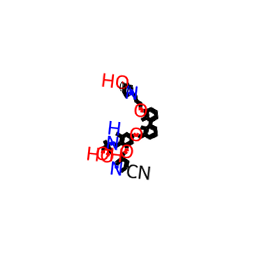 Cc1cc(OCc2cccc(-c3cccc(OCCCN4CC[C@@H](O)C4)c3C)c2C)cc(OCc2cncc(C#N)c2)c1CNC(C)(CO)CO